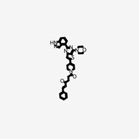 O=C(C=Cc1ccccc1)CCC(=O)N1CC=C(c2cc3nc(-c4cccc5[nH]ncc45)nc(N4CCOCC4)c3s2)CC1